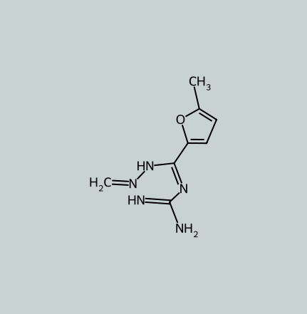 C=NN/C(=N\C(=N)N)c1ccc(C)o1